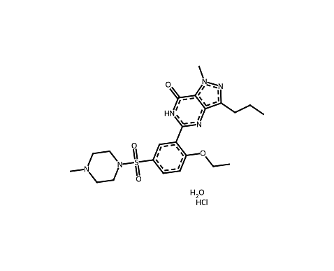 CCCc1nn(C)c2c(=O)[nH]c(-c3cc(S(=O)(=O)N4CCN(C)CC4)ccc3OCC)nc12.Cl.O